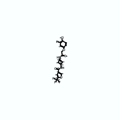 O=C(COc1ccc(Cl)c(F)c1)NC12CC(NC(=O)c3coc(C(F)(F)F)c3)(C1)C2